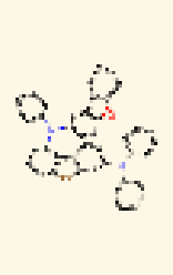 c1ccc(N(c2ccccc2)c2ccc3c(c2)sc2cccc(N(c4ccccc4)c4ccc5oc6ccccc6c5c4)c23)cc1